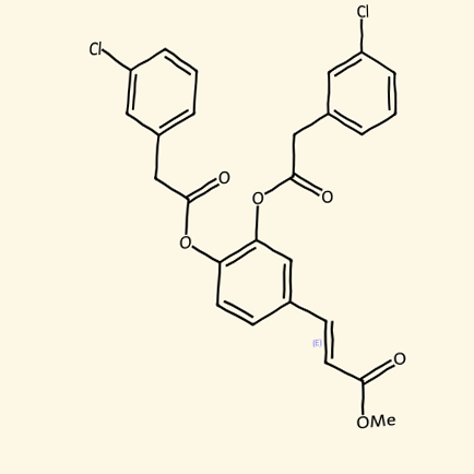 COC(=O)/C=C/c1ccc(OC(=O)Cc2cccc(Cl)c2)c(OC(=O)Cc2cccc(Cl)c2)c1